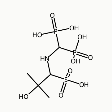 CC(C)(O)C(NC(P(=O)(O)O)P(=O)(O)O)S(=O)(=O)O